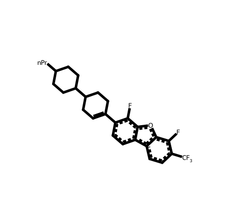 CCCC1CCC(C2CC=C(c3ccc4c(oc5c(F)c(C(F)(F)F)ccc54)c3F)CC2)CC1